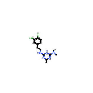 CC1N=C(NCCc2ccc(Cl)c(Cl)c2)NC(N(C)C)=N1